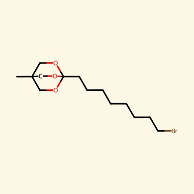 CC12COC(CCCCCCCCBr)(OC1)OC2